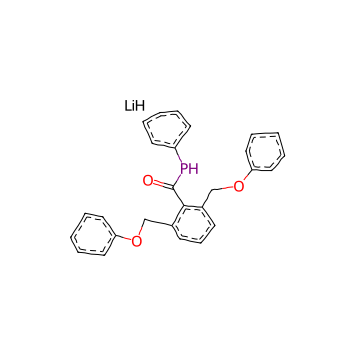 O=C(Pc1ccccc1)c1c(COc2ccccc2)cccc1COc1ccccc1.[LiH]